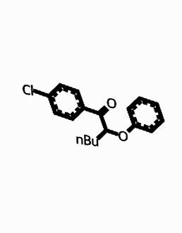 CCCCC(Oc1ccccc1)C(=O)c1ccc(Cl)cc1